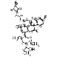 C=CC(O)N1C[C@H](C)N(c2nc(=O)n3c4c(c(-c5ccc(F)cc5F)c(Cl)cc24)OC[C@H]3CCCN2CC(F)C2)C[C@H]1C